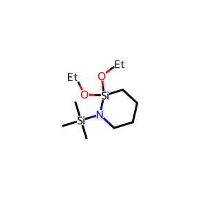 CCO[Si]1(OCC)CCCCN1[Si](C)(C)C